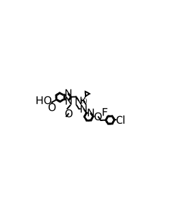 COCCn1c(CN2CCN(c3cccc(OCc4ccc(Cl)cc4F)n3)C[C@@H]2C2CC2)nc2ccc(C(=O)O)cc21